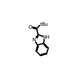 CC(C)(C)C(=O)c1nc2ccccc2[nH]1